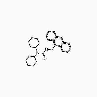 O=C(OCc1c2ccccc2cc2ccccc12)N(C1CCCCC1)C1CCCCC1